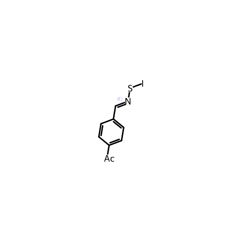 CC(=O)c1ccc(/C=N/SI)cc1